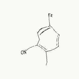 CCc1ccc(C)c(N=O)c1